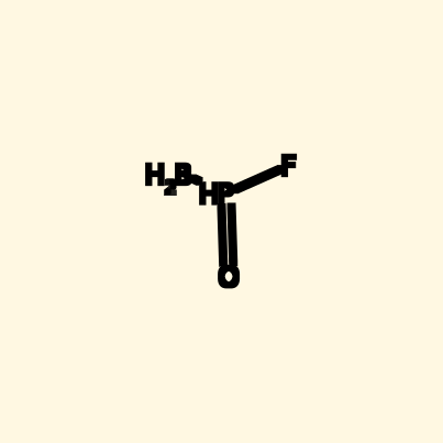 B[PH](=O)F